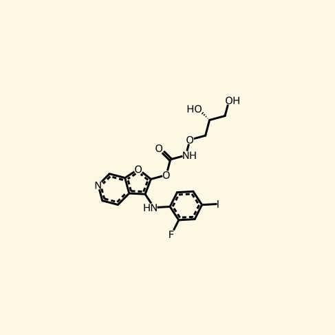 O=C(NOC[C@H](O)CO)Oc1oc2cnccc2c1Nc1ccc(I)cc1F